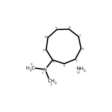 CN(C)C1CCCCCCCC1.N